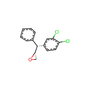 Clc1ccc([C@@H](c2ccccc2)[C@@H]2CO2)cc1Cl